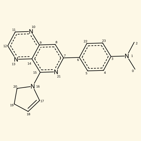 CN(C)c1ccc(-c2cc3nccnc3c(N3C=CCC3)n2)cc1